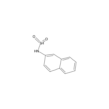 O=[SH](=O)Nc1ccc2ccccc2c1